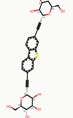 OC[C@H]1O[C@H](C#Cc2ccc3c(c2)sc2cc(C#C[C@H]4O[C@H](CO)[C@@H](O)[C@H](O)[C@@H]4O)ccc23)[C@@H](O)[C@@H](O)[C@@H]1O